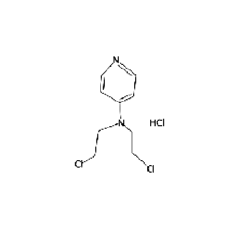 Cl.ClCCN(CCCl)c1ccncc1